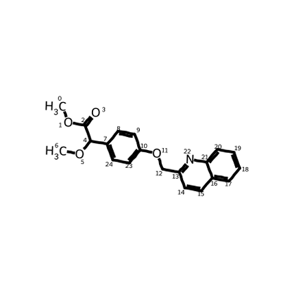 COC(=O)C(OC)c1ccc(OCc2ccc3ccccc3n2)cc1